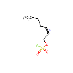 O=C(O)CC/C=C\COS(=O)(=O)F